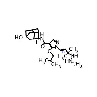 CNNC(C)(C)/C=C/n1ncc(C(=O)N[C@H]2C3CC4CC2C[C@](O)(C4)C3)c1OCC(C)C